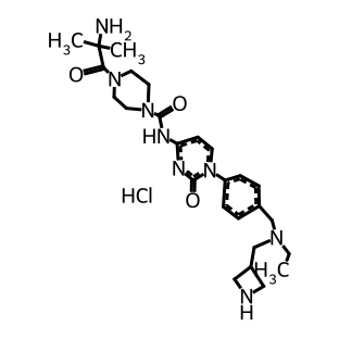 CCN(Cc1ccc(-n2ccc(NC(=O)N3CCN(C(=O)C(C)(C)N)CC3)nc2=O)cc1)CC1CNC1.Cl